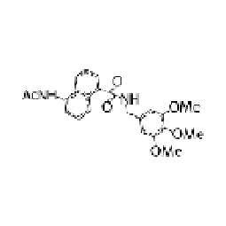 COc1cc(CNS(=O)(=O)c2cccc3c(NC(C)=O)cccc23)cc(OC)c1OC